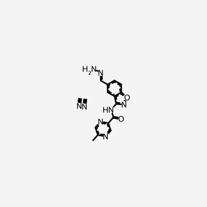 C#N.C#N.Cc1cnc(C(=O)Nc2noc3ccc(C=NN)cc23)cn1